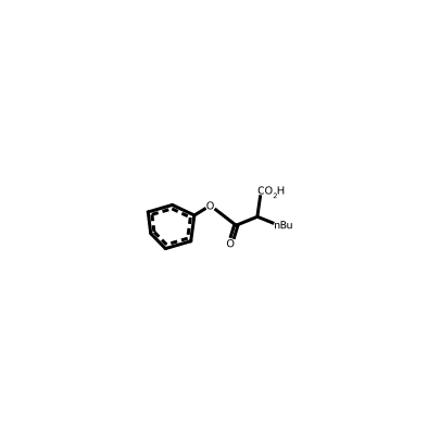 CCCCC(C(=O)O)C(=O)Oc1ccccc1